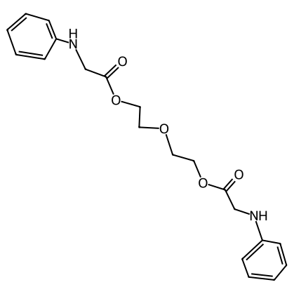 O=C(CNc1ccccc1)OCCOCCOC(=O)CNc1ccccc1